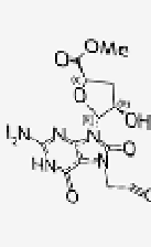 C#CCn1c(=O)n([C@@H]2O[C@@H](C(=O)OC)C[C@H]2O)c2nc(N)[nH]c(=O)c21